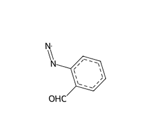 [N]=Nc1ccccc1C=O